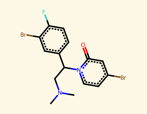 CN(C)CC(c1ccc(F)c(Br)c1)n1ccc(Br)cc1=O